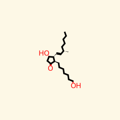 CCCCC[C@H](C)/C=C/[C@H]1[C@H](O)CC(=O)[C@@H]1CCCCCCCO